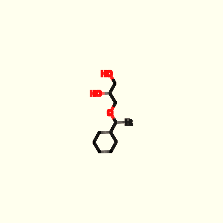 CCC(OCC(O)CO)C1CCCCC1